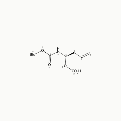 C=CC[C@H](NC(=O)OC(C)(C)C)OC(=O)O